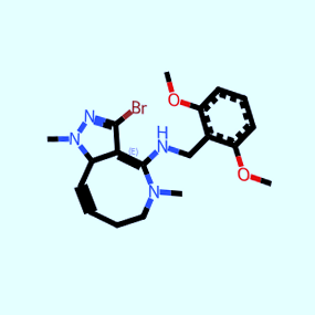 COc1cccc(OC)c1CN/C1=C2\C(Br)=NN(C)C2C#CCCN1C